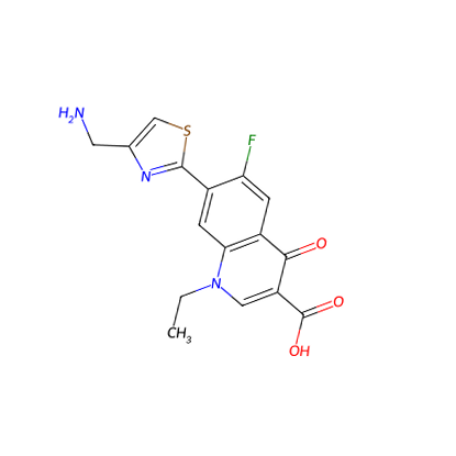 CCn1cc(C(=O)O)c(=O)c2cc(F)c(-c3nc(CN)cs3)cc21